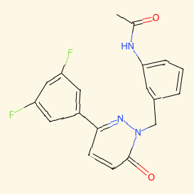 CC(=O)Nc1cccc(Cn2nc(-c3cc(F)cc(F)c3)ccc2=O)c1